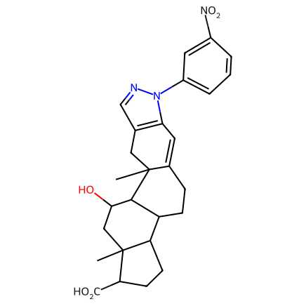 CC12Cc3cnn(-c4cccc([N+](=O)[O-])c4)c3C=C1CCC1C2C(O)CC2(C)C(C(=O)O)CCC12